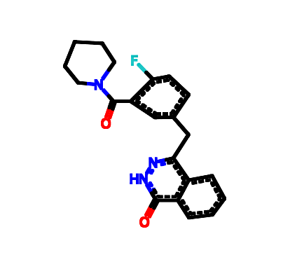 O=C(c1cc(Cc2n[nH]c(=O)c3ccccc23)ccc1F)N1CCCCC1